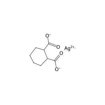 O=C([O-])C1CCCCC1C(=O)[O-].[Ag+2]